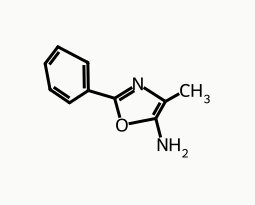 Cc1nc(-c2ccccc2)oc1N